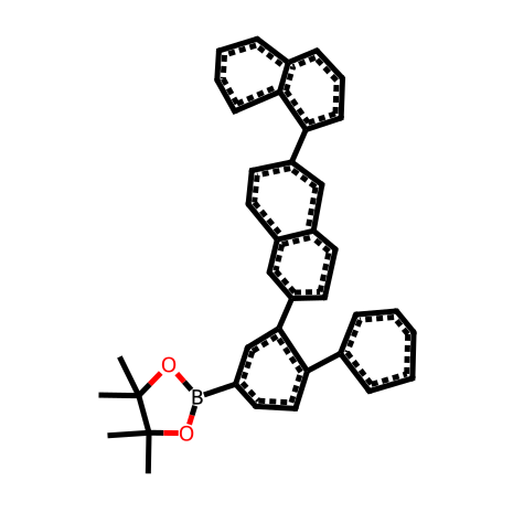 CC1(C)OB(c2ccc(-c3ccccc3)c(-c3ccc4cc(-c5cccc6ccccc56)ccc4c3)c2)OC1(C)C